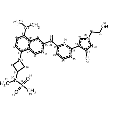 CN(C)c1ccc(N2CC(N(C)S(C)(=O)=O)C2)c2cnc(Nc3ccnc(-c4cn(CCO)nc4Cl)n3)cc12